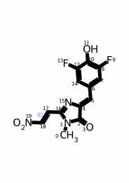 CN1C(=O)C(=Cc2cc(F)c(O)c(F)c2)N=C1/C=C/[N+](=O)[O-]